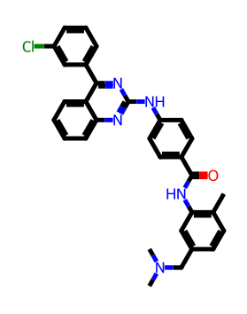 Cc1ccc(CN(C)C)cc1NC(=O)c1ccc(Nc2nc(-c3cccc(Cl)c3)c3ccccc3n2)cc1